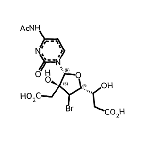 CC(=O)Nc1ccn([C@@H]2O[C@H](C(O)CC(=O)O)C(Br)[C@]2(O)CC(=O)O)c(=O)n1